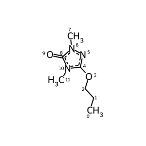 CCCOc1nn(C)c(=O)n1C